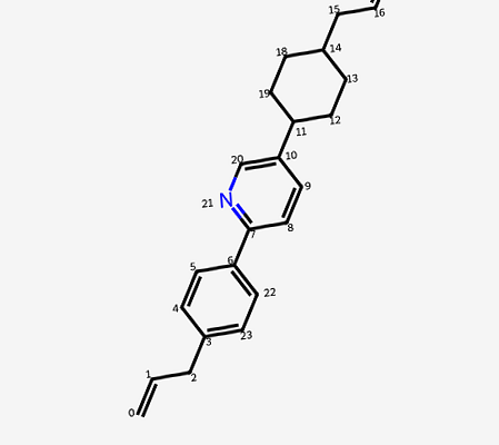 C=CCc1ccc(-c2ccc(C3CCC(CC=C)CC3)cn2)cc1